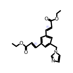 CCOC(=O)/C=C/c1cc(/C=C/C(=O)OCC)cc(Cn2ccnc2)c1